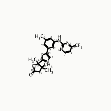 Cc1cc(Nc2nccc(C(F)(F)F)n2)cc(-c2cnc(C3(C)OC(=O)CC3(C)C)s2)c1